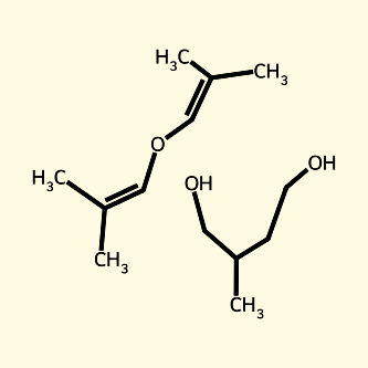 CC(C)=COC=C(C)C.CC(CO)CCO